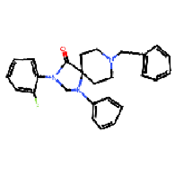 O=C1N(c2ccccc2F)CN(c2ccccc2)C12CCN(Cc1ccccc1)CC2